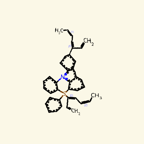 C=C/C(=C\C=C/C)c1ccc2c(c1)c1cccc3c1n2-c1ccccc1S3(/C(C=C)=C/C=C\C)c1ccccc1